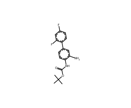 CC(C)(C)OC(=O)Nc1ccc(-c2ccc(F)cc2F)cc1N